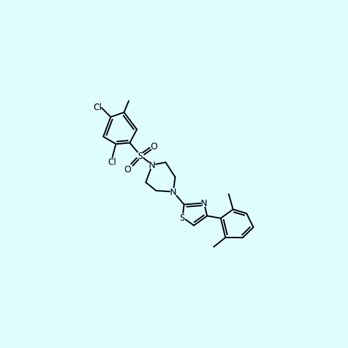 Cc1cc(S(=O)(=O)N2CCN(c3nc(-c4c(C)cccc4C)cs3)CC2)c(Cl)cc1Cl